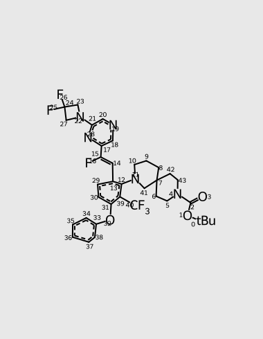 CC(C)(C)OC(=O)N1CCC2(CCCN(c3c(/C=C(\F)c4cncc(N5CC(F)(F)C5)n4)ccc(Oc4ccccc4)c3C(F)(F)F)C2)CC1